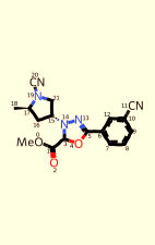 COC(=O)C1OC(c2cccc(C#N)c2)=NN1[C@@H]1C[C@@H](C)N(C#N)C1